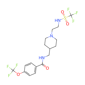 O=C(NCC1CCN(CCNS(=O)(=O)C(F)(F)F)CC1)c1ccc(OC(F)(F)F)cc1